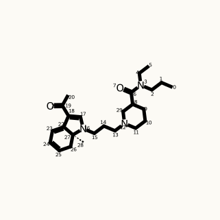 CCCN(CC)C(=O)C1CCCN(CCCN2C=C(C(C)=O)C3=CC=CC[C@@]32C)C1